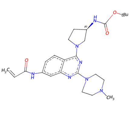 C=CC(=O)Nc1ccc2c(N3CC[C@@H](NC(=O)OC(C)(C)C)C3)nc(N3CCN(C)CC3)nc2c1